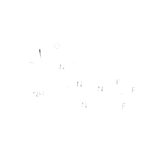 CC(C)[C@]1(C(=O)N2CCN(c3nccc(C(F)(F)F)n3)CC2)CC[C@@H](N)C1